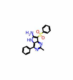 Cc1nc(-c2ccccc2)c2[nH]c(N)c(S(=O)(=O)c3ccccc3)c2n1